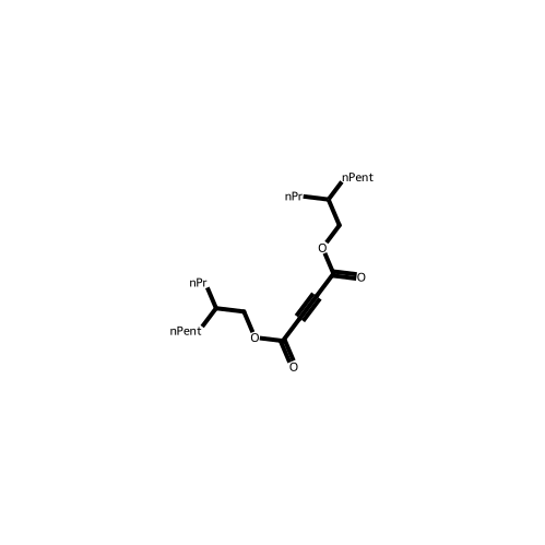 CCCCCC(CCC)COC(=O)C#CC(=O)OCC(CCC)CCCCC